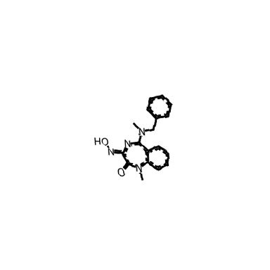 CN(Cc1ccccc1)c1nc(=NO)c(=O)n(C)c2ccccc12